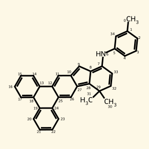 Cc1cccc(NC2=C3C=c4cc5c6ccccc6c6ccccc6c5cc4=C3C(C)(C)C=C2)c1